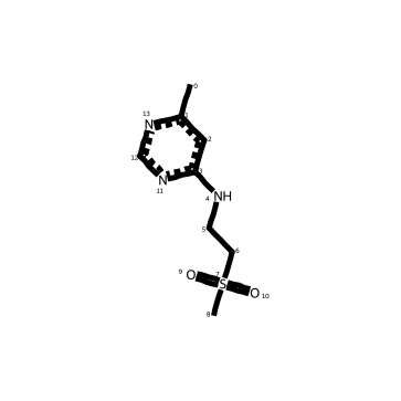 Cc1cc(NCCS(C)(=O)=O)ncn1